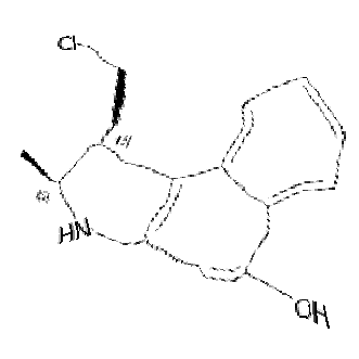 C[C@@H]1Nc2cc(O)c3ccccc3c2[C@@H]1CCl